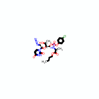 CCCCOC(=O)[C@H](C)NP(=O)(OC[C@@H](O[C@H](CN=[N+]=[N-])n1ccc(=O)[nH]c1=O)[C@H](C)O)Oc1ccc(Cl)cc1